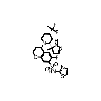 CC1([C@H]2C[C@@H](C(F)(F)F)CCN2[C@@H]2CCOc3cc(S(=O)(=O)Nc4nccs4)c(F)cc32)CC=NN1